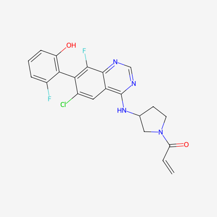 C=CC(=O)N1CCC(Nc2ncnc3c(F)c(-c4c(O)cccc4F)c(Cl)cc23)C1